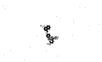 Cc1ccc(COc2ccc(S(=O)(=O)N3CC(O)CCC3C(=O)NO)cc2)c2ccccc12